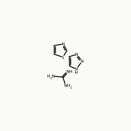 N=C(N)N.c1c[nH]nn1.c1cscn1